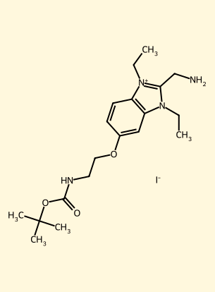 CCn1c(CN)[n+](CC)c2ccc(OCCNC(=O)OC(C)(C)C)cc21.[I-]